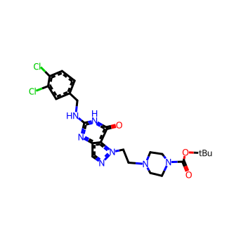 CC(C)(C)OC(=O)N1CCN(CCn2ncc3nc(NCc4ccc(Cl)c(Cl)c4)[nH]c(=O)c32)CC1